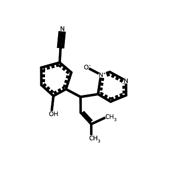 CC(C)=CC(c1cc(C#N)ccc1O)c1ccnc[n+]1[O-]